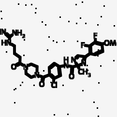 COc1ccc(C2=NC(C)(C(=O)Nc3ccc(C(=O)N4CCN(C(=O)CCCNC(=N)N)CC4)c(Cl)c3)N=C2)c(F)c1F